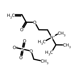 C=CC(=O)OCC[N+](C)(C)C(C)C.CCOS(=O)(=O)[O-]